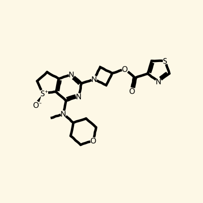 CN(c1nc(N2CC(OC(=O)c3cscn3)C2)nc2c1[S@@+]([O-])CC2)C1CCOCC1